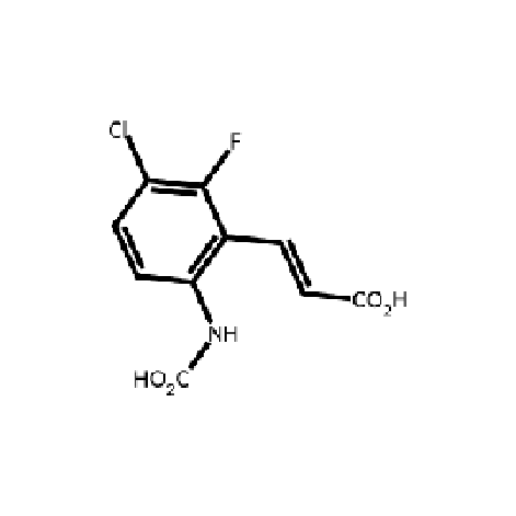 O=C(O)C=Cc1c(NC(=O)O)ccc(Cl)c1F